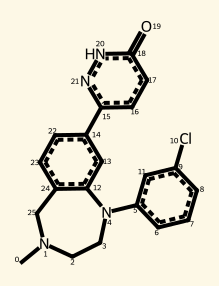 CN1CCN(c2cccc(Cl)c2)c2cc(-c3ccc(=O)[nH]n3)ccc2C1